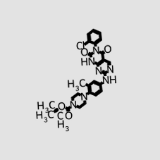 Cc1cc(Nc2ncc3c(=O)n(-c4ccccc4Cl)c(=O)[nH]c3n2)ccc1N1CCN(C(=O)OC(C)(C)C)CC1